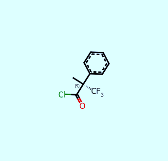 C[C@](C(=O)Cl)(c1ccccc1)C(F)(F)F